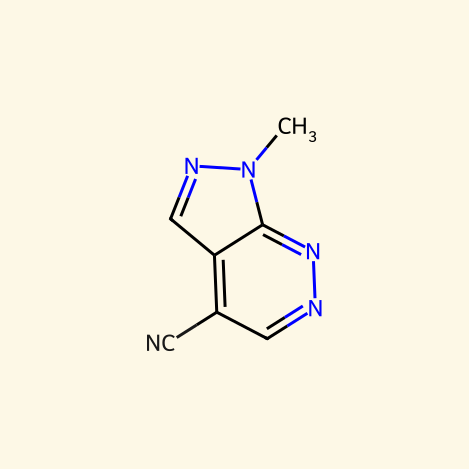 Cn1ncc2c(C#N)cnnc21